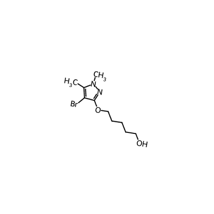 Cc1c(Br)c(OCCCCCO)nn1C